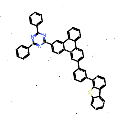 c1ccc(-c2nc(-c3ccccc3)nc(-c3ccc4c5cc(-c6cccc(-c7cccc8c7sc7ccccc78)c6)ccc5c5ccccc5c4c3)n2)cc1